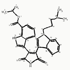 CC(C)OC(=O)c1cccc2c(C3=C(c4cn(CCCN(C)C)c5ccccc45)C(=O)NC3=O)c[nH]c12